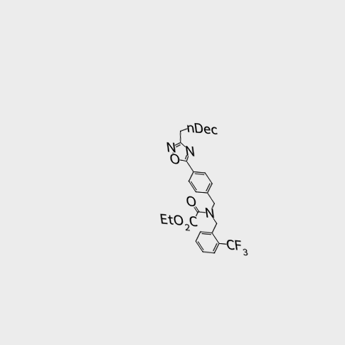 CCCCCCCCCCCc1noc(-c2ccc(CN(Cc3ccccc3C(F)(F)F)C(=O)C(=O)OCC)cc2)n1